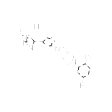 O=C(O)Cn1nnc(-c2cnc(N3CC4CN(c5cc(Br)ccc5Br)CC4C3)s2)n1